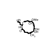 CCC/C=C/CC1C/C=C/C=C(\C)C(OC)C/C=C\C(O)C(O)\C=C(C)/C=C/C=C/C(=O)N1